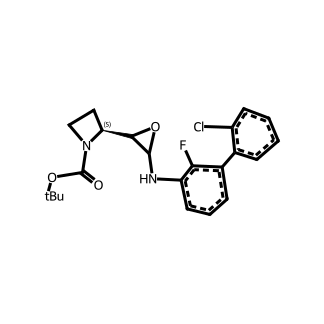 CC(C)(C)OC(=O)N1CC[C@H]1C1OC1Nc1cccc(-c2ccccc2Cl)c1F